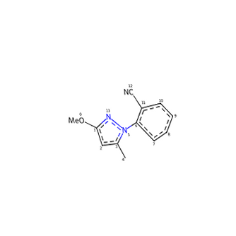 COc1cc(C)n(-c2ccccc2C#N)n1